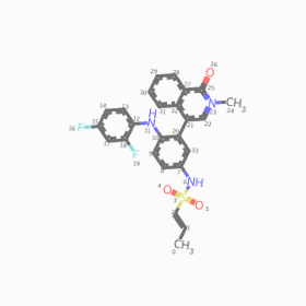 C/C=C/S(=O)(=O)Nc1ccc(Nc2ccc(F)cc2F)c(-c2cn(C)c(=O)c3ccccc23)c1